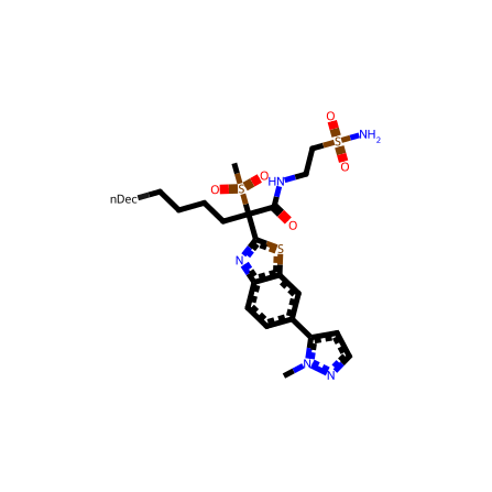 CCCCCCCCCCCCCCC(C(=O)NCCS(N)(=O)=O)(c1nc2ccc(-c3ccnn3C)cc2s1)S(C)(=O)=O